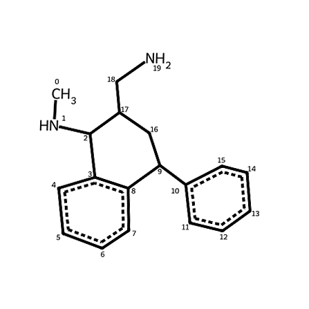 CNC1c2ccccc2C(c2ccccc2)CC1CN